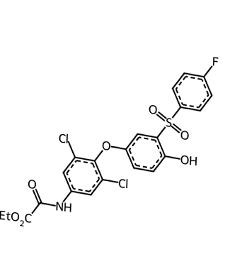 CCOC(=O)C(=O)Nc1cc(Cl)c(Oc2ccc(O)c(S(=O)(=O)c3ccc(F)cc3)c2)c(Cl)c1